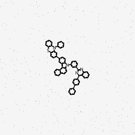 c1ccc(-c2ccc(-c3nc(-c4cccc(-n5c6ccc(-c7ccc8c(c7)N(c7ccccc7)c7ccccc7S8)cc6c6c7ccccc7ccc65)c4)nc4ccccc34)cc2)cc1